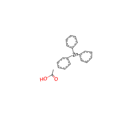 CC(=O)O.c1cc[c]([Zn]([c]2ccccc2)[c]2ccccc2)cc1